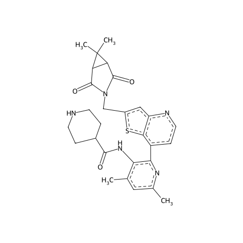 Cc1cc(C)c(NC(=O)C2CCNCC2)c(-c2ccnc3cc(CN4C(=O)C5C(C4=O)C5(C)C)sc23)n1